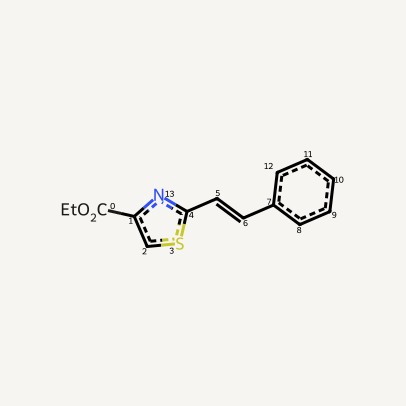 CCOC(=O)c1csc(/C=C/c2ccccc2)n1